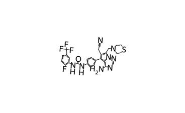 N#CCc1c(-c2ccc(NC(=O)Nc3cc(C(F)(F)F)ccc3F)cc2)c2c(N)ncnn2c1CN1CCSCC1